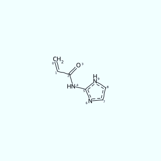 C=CC(=O)Nc1ncc[nH]1